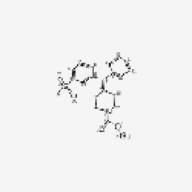 CC(C)(C)OC(=O)N1CCC(=C(c2ccccc2)c2cccc(S(C)(=O)=O)c2)CC1